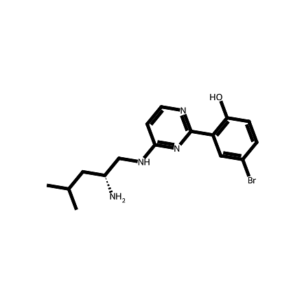 CC(C)C[C@@H](N)CNc1ccnc(-c2cc(Br)ccc2O)n1